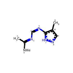 CN/C(C)=N/C=N\c1[nH]ncc1C